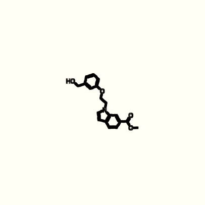 COC(=O)c1ccc2ccn(CCOc3cccc(CO)c3)c2c1